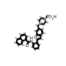 O=C(Nc1ccccc1-c1cc2ccc(CN3CCN(C(=O)O)CC3)cc2o1)c1cccc2ccccc12